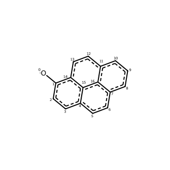 [O]c1ccc2ccc3cccc4ccc1c2c34